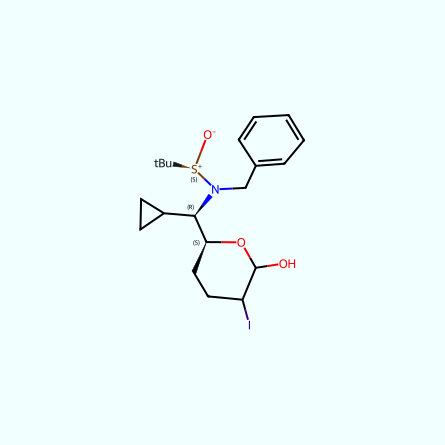 CC(C)(C)[S@@+]([O-])N(Cc1ccccc1)[C@H](C1CC1)[C@@H]1CCC(I)C(O)O1